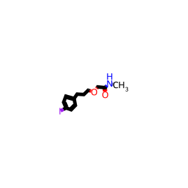 CNC(=O)COCCCc1ccc(I)cc1